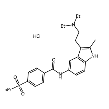 CCCS(=O)(=O)c1ccc(C(=O)Nc2ccc3[nH]c(C)c(CCN(CC)CC)c3c2)cc1.Cl